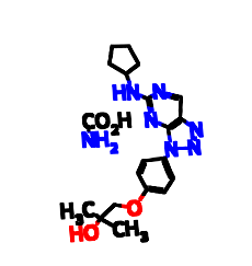 CC(C)(O)COc1ccc(-n2nnc3cnc(NC4CCCC4)nc32)cc1.NC(=O)O